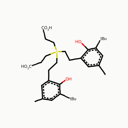 Cc1cc(CCS(CCC(=O)O)(CCC(=O)O)CCc2cc(C)cc(C(C)(C)C)c2O)c(O)c(C(C)(C)C)c1